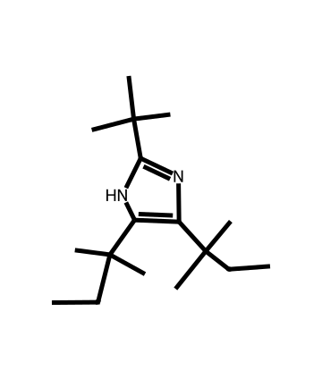 CCC(C)(C)c1nc(C(C)(C)C)[nH]c1C(C)(C)CC